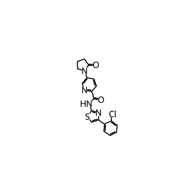 O=C(Nc1nc(-c2ccccc2Cl)cs1)c1ccc(N2CCCC2=O)cn1